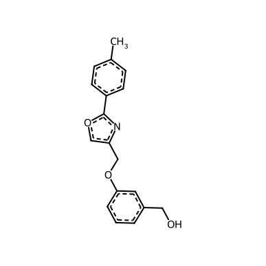 Cc1ccc(-c2nc(COc3cccc(CO)c3)co2)cc1